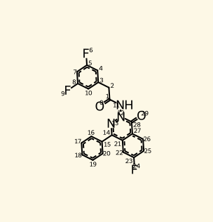 O=C(Cc1cc(F)cc(F)c1)Nn1nc(-c2ccccc2)c2cc(F)ccc2c1=O